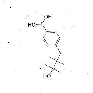 CC(C)(Cc1ccc(B(O)O)cc1)[Si](C)(C)O